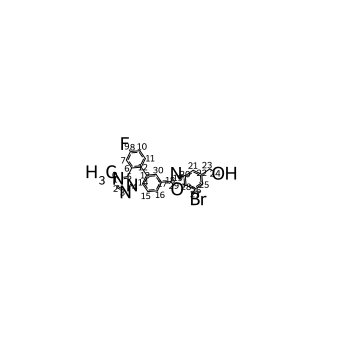 Cn1cnnc1-c1cc(F)ccc1-c1cccc(-c2nc3cc(CO)cc(Br)c3o2)c1